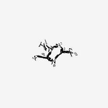 Fc1n[nH]c(F)n1